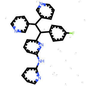 Fc1ccc(C(c2cccc(Nc3ccccn3)n2)C(c2cccnc2)c2cccnc2)cc1